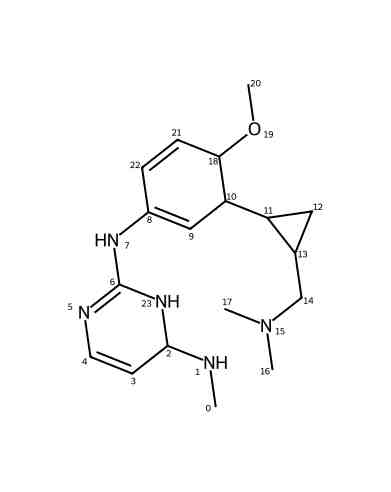 CNC1C=CN=C(NC2=CC(C3CC3CN(C)C)C(OC)C=C2)N1